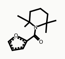 CC1(C)CCCC(C)(C)N1C(=O)c1ccco1